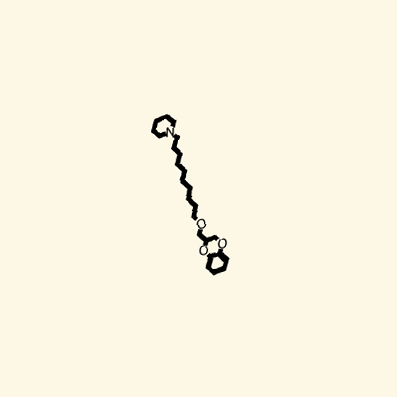 c1ccc2c(c1)OCC(COCCCCCCCCCCN1CCCCC1)O2